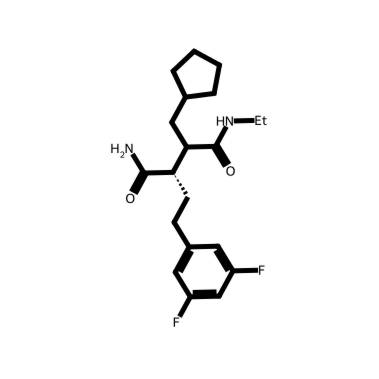 CCNC(=O)C(CC1CCCC1)[C@H](CCc1cc(F)cc(F)c1)C(N)=O